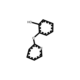 Oc1ccccc1Oc1ccccn1